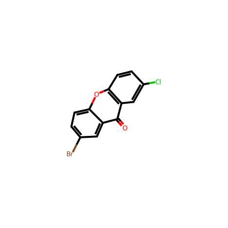 O=c1c2cc(Cl)ccc2oc2ccc(Br)cc12